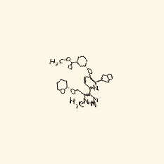 COC(=O)[C@H]1CCC[C@H](Oc2ccc(-c3nnn(C)c3CO[C@H]3CCCCO3)nc2C2COC2)C1